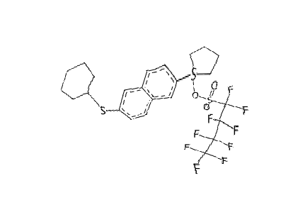 O=S(=O)(OS1(c2ccc3cc(SC4CCCCC4)ccc3c2)CCCC1)C(F)(F)C(F)(F)C(F)(F)C(F)(F)F